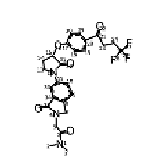 CN(C)C(=O)CN1Cc2ccc(N3CC[C@@H](Oc4ccc(C(=O)CCC(F)(F)F)cc4)C3=O)cc2C1=O